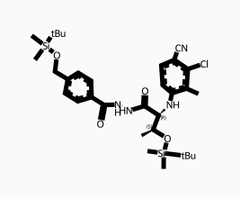 Cc1c(N[C@@H](C(=O)NNC(=O)c2ccc(CO[Si](C)(C)C(C)(C)C)cc2)[C@H](C)O[Si](C)(C)C(C)(C)C)ccc(C#N)c1Cl